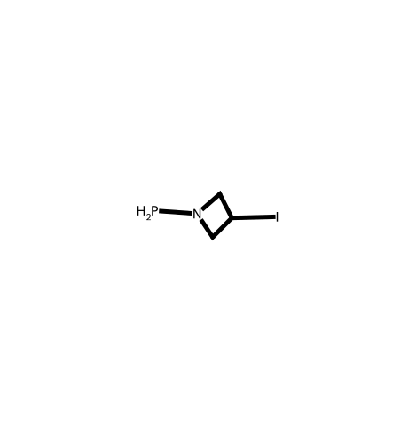 PN1CC(I)C1